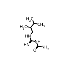 CC(C)C(C)CNC(=N)NC(N)=O